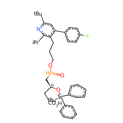 CC(C)c1nc(C(C)(C)C)cc(-c2ccc(F)cc2)c1CCCO[PH](=O)C[C@H](CC(=O)O)O[Si](c1ccccc1)(c1ccccc1)C(C)(C)C